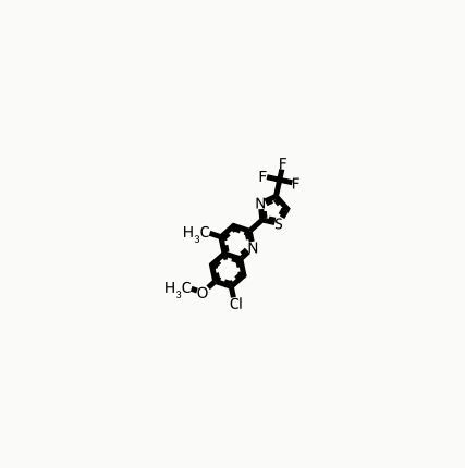 COc1cc2c(C)cc(-c3nc(C(F)(F)F)cs3)nc2cc1Cl